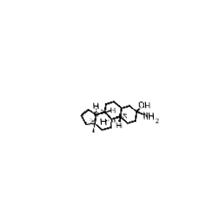 C[C@@]12CCC[C@H]1[C@@H]1CCC3CC(N)(O)CC[C@@H]3[C@H]1CC2